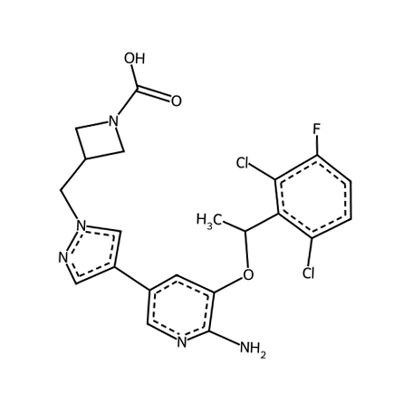 CC(Oc1cc(-c2cnn(CC3CN(C(=O)O)C3)c2)cnc1N)c1c(Cl)ccc(F)c1Cl